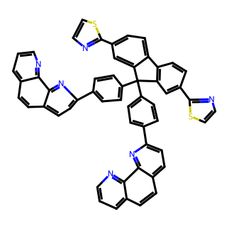 c1cnc2c(c1)ccc1ccc(-c3ccc(C4(c5ccc(-c6ccc7ccc8cccnc8c7n6)cc5)c5cc(-c6nccs6)ccc5-c5ccc(-c6nccs6)cc54)cc3)nc12